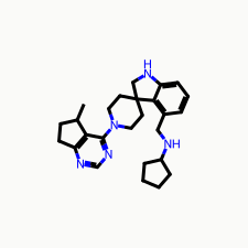 CC1CCc2ncnc(N3CCC4(CC3)CNc3cccc(CNC5CCCC5)c34)c21